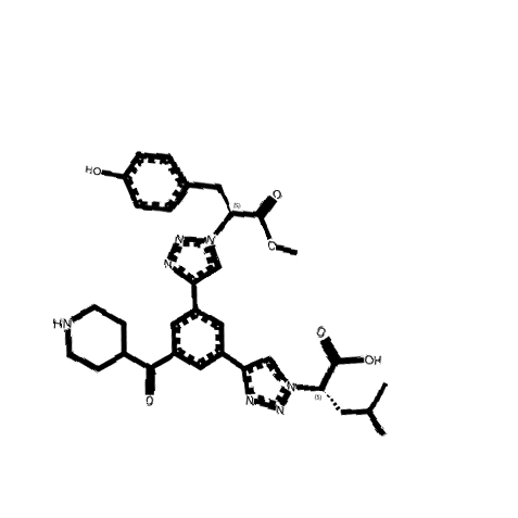 COC(=O)[C@H](Cc1ccc(O)cc1)n1cc(-c2cc(C(=O)C3CCNCC3)cc(-c3cn([C@@H](CC(C)C)C(=O)O)nn3)c2)nn1